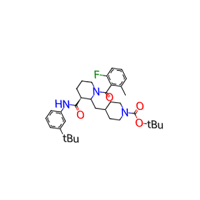 Cc1cccc(F)c1C(=O)N1CCC[C@H](C(=O)Nc2cccc(C(C)(C)C)c2)C1CC1CCN(C(=O)OC(C)(C)C)CC1